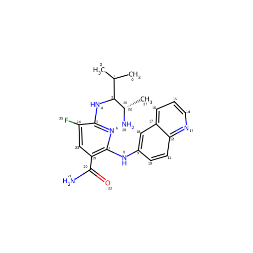 CC(C)C(Nc1nc(Nc2ccc3ncccc3c2)c(C(N)=O)cc1F)[C@H](C)N